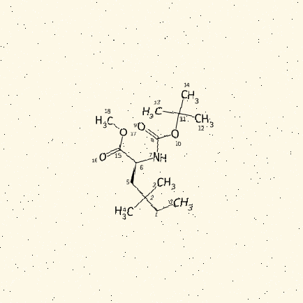 CCC(C)(C)C[C@H](NC(=O)OC(C)(C)C)C(=O)OC